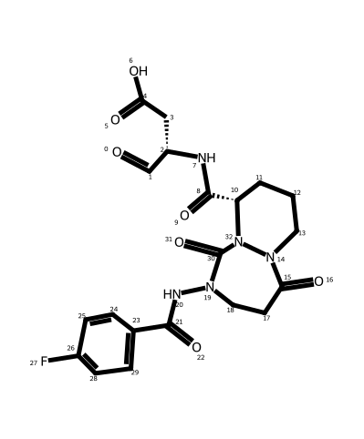 O=C[C@H](CC(=O)O)NC(=O)[C@@H]1CCCN2C(=O)CCN(NC(=O)c3ccc(F)cc3)C(=O)N12